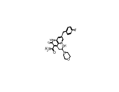 NC(=O)c1c(CC(O)N2CCOCC2)c2ncc(Cc3ccc(F)cc3)cc2[nH]c1=O